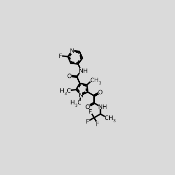 Cc1c(C(=O)Nc2ccnc(F)c2)c(C)n(C)c1C(=O)C(=O)NC(C)C(F)(F)F